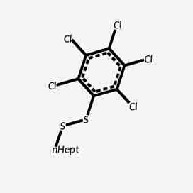 CCCCCCCSSc1c(Cl)c(Cl)c(Cl)c(Cl)c1Cl